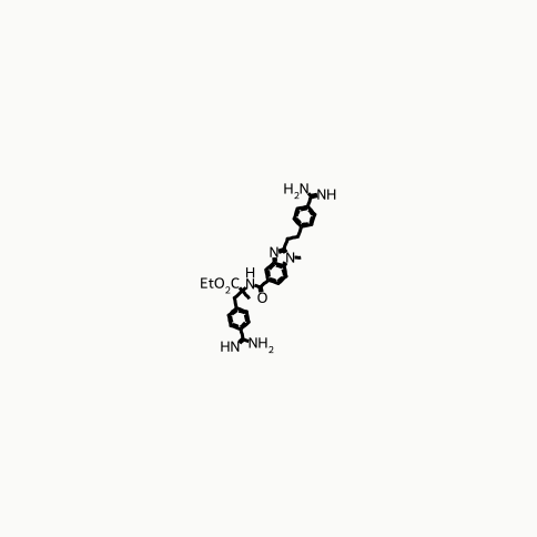 CCOC(=O)C(C)(Cc1ccc(C(=N)N)cc1)NC(=O)c1ccc2c(c1)nc(CCc1ccc(C(=N)N)cc1)n2C